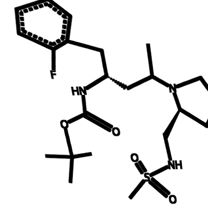 CC(C[C@@H](Cc1ccccc1F)NC(=O)OC(C)(C)C)N1CCC[C@H]1CNS(C)(=O)=O